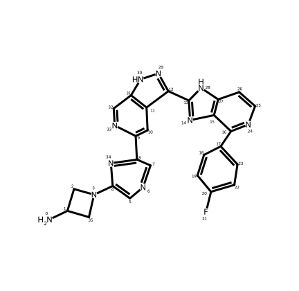 NC1CN(c2cncc(-c3cc4c(-c5nc6c(-c7ccc(F)cc7)nccc6[nH]5)n[nH]c4cn3)n2)C1